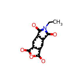 CCn1c(=O)c2cc3c(=O)oc(=O)c3cc2c1=O